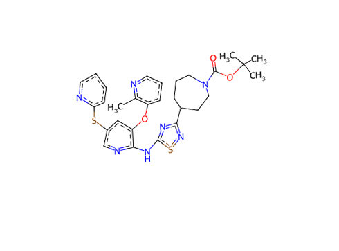 Cc1ncccc1Oc1cc(Sc2ccccn2)cnc1Nc1nc(C2CCCN(C(=O)OC(C)(C)C)CC2)ns1